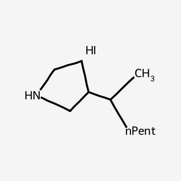 CCCCCC(C)C1CCNC1.I